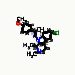 COc1ccc(/C(C)=C/n2c3c(c4cc(Cl)ccc42)CCN(C)C3C)cc1